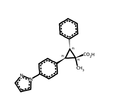 C[C@@]1(C(=O)O)[C@@H](c2ccccc2)[C@@H]1c1ccc(-n2cccn2)cc1